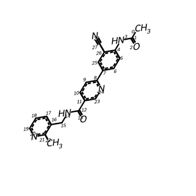 CC(=O)Nc1ccc(-c2ccc(C(=O)NCc3cccnc3C)cn2)cc1C#N